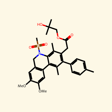 COc1cc2c(cc1OC)-c1c(C)c(-c3ccc(C)cc3)c(CC(=O)OCC(C)(C)O)c(C)c1N(S(C)(=O)=O)C2